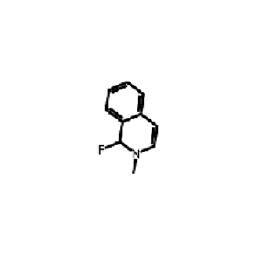 CN1C=Cc2ccccc2C1F